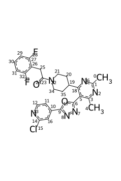 Cc1nc(C)c(-c2nnc(-c3ccnc(Cl)c3)o2)c(C2CCN(C(=O)Cc3c(F)cccc3F)CC2)n1